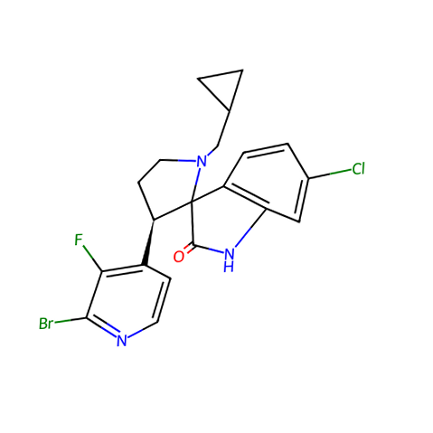 O=C1Nc2cc(Cl)ccc2C12[C@@H](c1ccnc(Br)c1F)CCN2CC1CC1